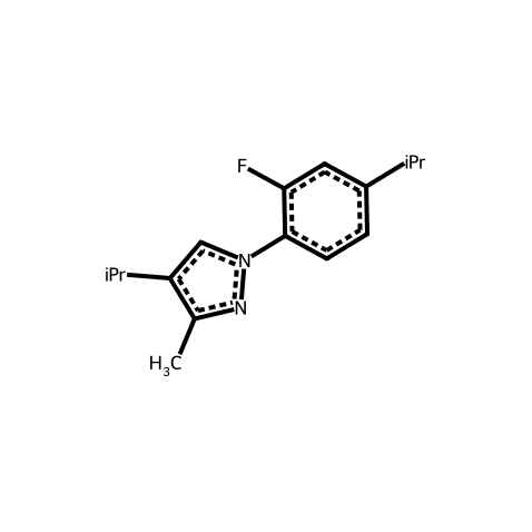 Cc1nn(-c2ccc(C(C)C)cc2F)cc1C(C)C